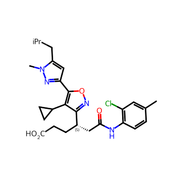 Cc1ccc(NC(=O)C[C@H](CCC(=O)O)c2noc(-c3cc(CC(C)C)n(C)n3)c2C2CC2)c(Cl)c1